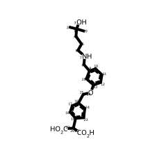 CC(C)(O)CCCNCc1cccc(OCc2ccc(C(C(=O)O)C(=O)O)cc2)c1